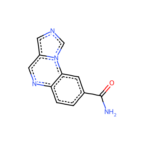 NC(=O)c1ccc2ncc3cncn3c2c1